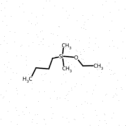 CCCC[Si](C)(C)OCC